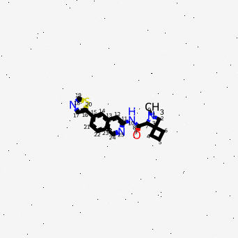 CN1CC2(CCC2)C1C(=O)Nc1cc2cc(-c3cncs3)ccc2cn1